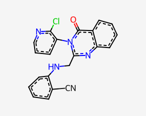 N#Cc1ccccc1NCc1nc2ccccc2c(=O)n1-c1cccnc1Cl